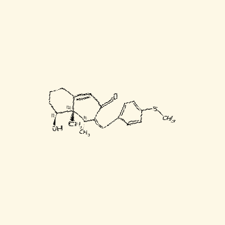 CSc1ccc(C=C2C(=O)C=C3CCC[C@H](O)[C@@]3(C)[C@H]2C)cc1